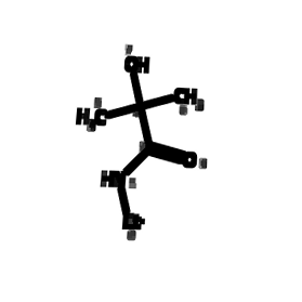 C[CH]NC(=O)C(C)(C)O